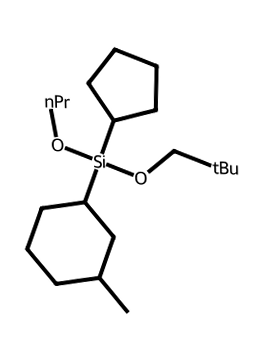 CCCO[Si](OCC(C)(C)C)(C1CCCC1)C1CCCC(C)C1